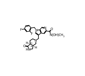 CN(O)C(=O)c1cc2c(CN3CC[C@@H]4C(=O)NC[C@@H]4C3)cn(Cc3ccc(F)cc3F)c2cn1